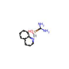 CCO.NC(N)=S.c1ccc2ncccc2c1